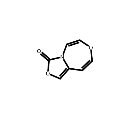 O=c1occ2n1C=COC=C2